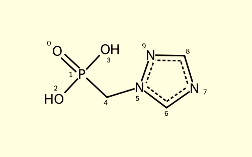 O=P(O)(O)Cn1cncn1